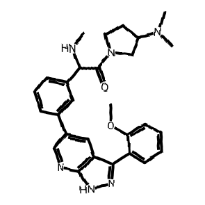 CNC(C(=O)N1CCC(N(C)C)C1)c1cccc(-c2cnc3[nH]nc(-c4ccccc4OC)c3c2)c1